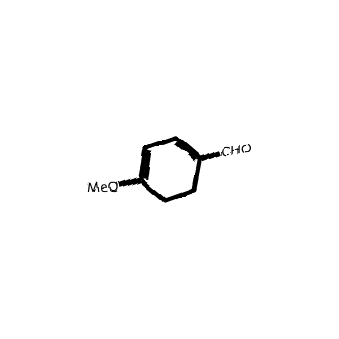 COC1=CC=C(C=O)CC1